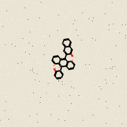 Cc1ccc2oc3cccc4c3c(c2c1)c1cccc2oc3cc5ccccc5cc3c4c21